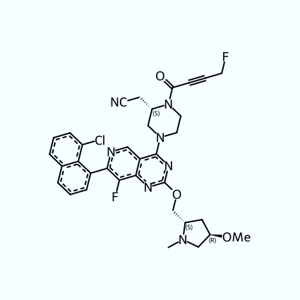 CO[C@@H]1C[C@@H](COc2nc(N3CCN(C(=O)C#CCF)[C@@H](CC#N)C3)c3cnc(-c4cccc5cccc(Cl)c45)c(F)c3n2)N(C)C1